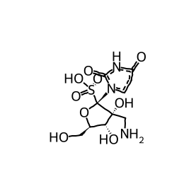 NC[C@@]1(O)[C@H](O)[C@@H](CO)O[C@]1(n1ccc(=O)[nH]c1=O)S(=O)(=O)O